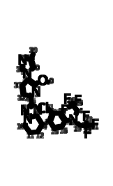 COc1nc(-c2nc3n(n2)CCC[C@H]3c2ccc(N(CC(F)(F)F)CC(F)(F)F)cc2Cl)ccc1-n1cnc(C)c1